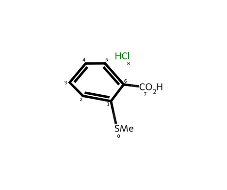 CSc1ccccc1C(=O)O.Cl